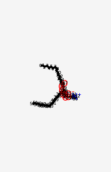 CCCCCCC/C=C\CCCCCCCC(=O)OC[C@H](COP(=O)([O-])OCC[N+](C)(C)C)OC(=O)CCCCCCC/C=C\CCCCCCCC